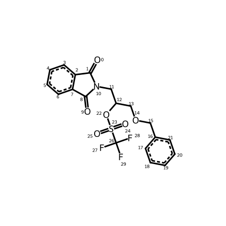 O=C1c2ccccc2C(=O)N1CC(COCc1ccccc1)OS(=O)(=O)C(F)(F)F